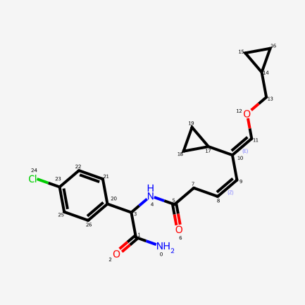 NC(=O)C(NC(=O)C/C=C\C(=C\OCC1CC1)C1CC1)c1ccc(Cl)cc1